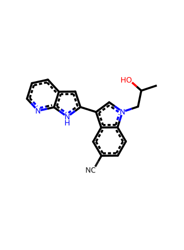 CC(O)Cn1cc(-c2cc3cccnc3[nH]2)c2cc(C#N)ccc21